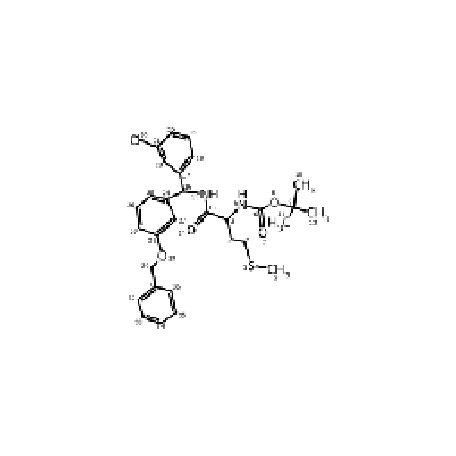 CSCCC(NC(=O)OC(C)(C)C)C(=O)NC(c1cccc(Cl)c1)c1cccc(OCc2ccccc2)c1